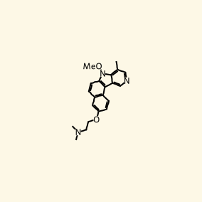 COn1c2ccc3cc(OCCN(C)C)ccc3c2c2cncc(C)c21